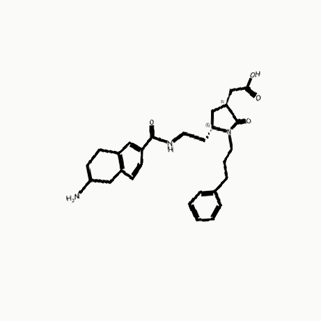 NC1CCc2cc(C(=O)NCC[C@@H]3C[C@@H](CC(=O)O)C(=O)N3CCCc3ccccc3)ccc2C1